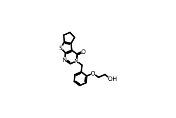 O=c1c2c3c(sc2ncn1Cc1ccccc1OCCO)CCC3